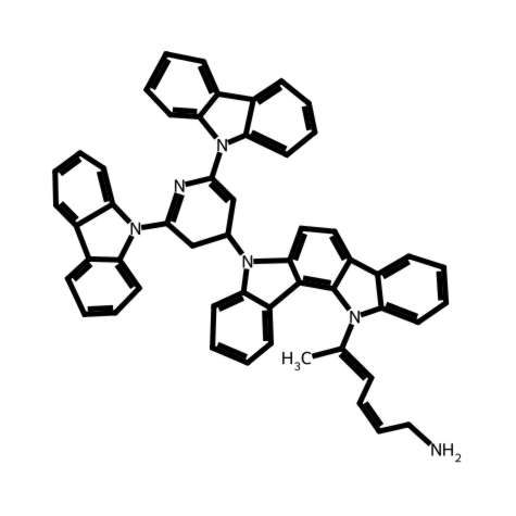 C/C(=C\C=C/CN)n1c2ccccc2c2ccc3c(c4ccccc4n3C3C=C(n4c5ccccc5c5ccccc54)N=C(n4c5ccccc5c5ccccc54)C3)c21